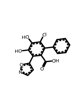 O=C(O)c1c(-c2ccno2)c(O)c(O)c(Cl)c1-c1ccccc1